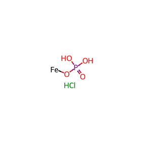 Cl.O=P(O)(O)[O][Fe]